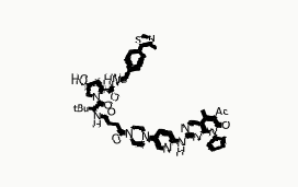 CC(=O)c1c(C)c2cnc(Nc3ccc(N4CCN(C(=O)CCC(=O)NC(C(=O)N5C[C@H](O)C[C@H]5C(=O)NCc5ccc(-c6scnc6C)cc5)C(C)(C)C)CC4)cn3)nc2n(C2CCCC2)c1=O